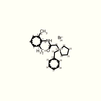 Cc1cccc(C)c1NC(=O)C[N+]1(Cc2ccccc2)CCCC1.[Br-]